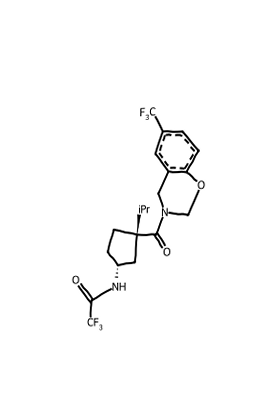 CC(C)[C@]1(C(=O)N2COc3ccc(C(F)(F)F)cc3C2)CC[C@@H](NC(=O)C(F)(F)F)C1